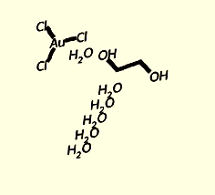 O.O.O.O.O.O.OCCO.[Cl][Au]([Cl])[Cl]